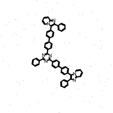 c1ccc(-c2nc(-c3ccc(-c4ccc(-c5c(-c6ccccc6)nc6ccccn56)cc4)cc3)nc(-c3ccc(-c4ccc(-c5c(-c6ccccc6)nc6ccccn56)cc4)cc3)n2)cc1